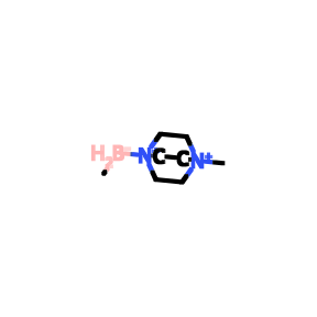 C[BH2-][N+]12CC[N+](C)(CC1)CC2